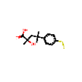 CC(O)(CC(C)(C)c1ccc(SS)cc1)C(=O)O